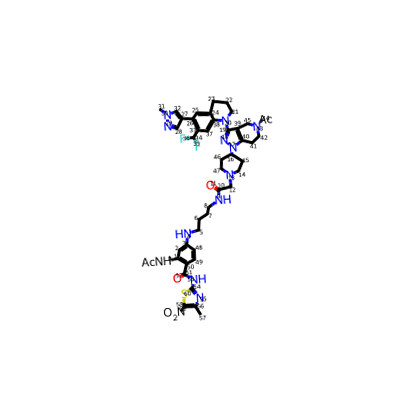 CC(=O)Nc1cc(NCCCCNC(=O)CN2CCC(n3nc(N4CCCc5cc(-c6cnn(C)c6)c(C(F)F)cc54)c4c3CCN(C(C)=O)C4)CC2)ccc1C(=O)Nc1nc(C)c([N+](=O)[O-])s1